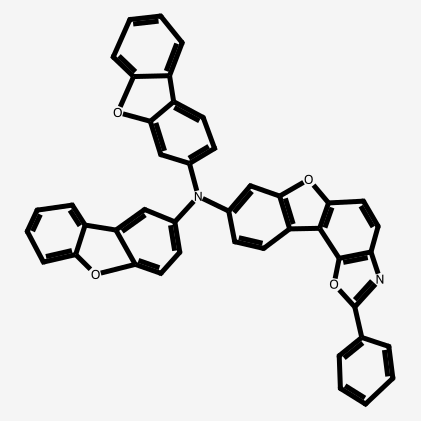 c1ccc(-c2nc3ccc4oc5cc(N(c6ccc7c(c6)oc6ccccc67)c6ccc7oc8ccccc8c7c6)ccc5c4c3o2)cc1